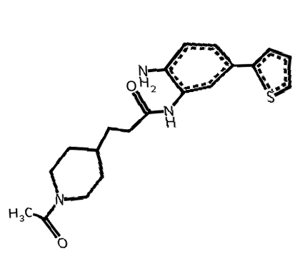 CC(=O)N1CCC(CCC(=O)Nc2cc(-c3cccs3)ccc2N)CC1